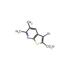 Cc1cc2c(Br)c(C(=O)O)sc2nc1C